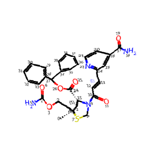 C[C@@]1(COC(N)=O)SCN(C(=O)/C=C/c2cc(C(N)=O)ccn2)[C@H]1C(=O)OC(c1ccccc1)c1ccccc1